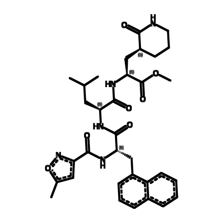 COC(=O)[C@H](C[C@@H]1CCCNC1=O)NC(=O)[C@H](CC(C)C)NC(=O)[C@H](Cc1cccc2ccccc12)NC(=O)c1cc(C)on1